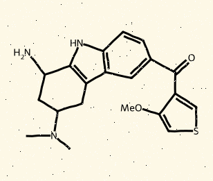 COc1cscc1C(=O)c1ccc2[nH]c3c(c2c1)CC(N(C)C)CC3N